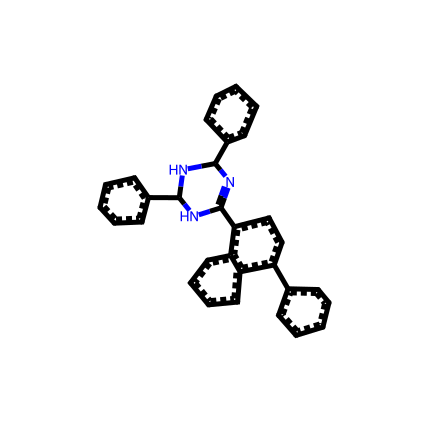 c1ccc(-c2ccc(C3=NC(c4ccccc4)NC(c4ccccc4)N3)c3ccccc23)cc1